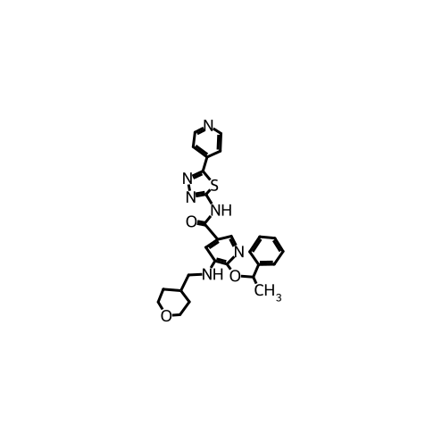 CC(Oc1ncc(C(=O)Nc2nnc(-c3ccncc3)s2)cc1NCC1CCOCC1)c1ccccc1